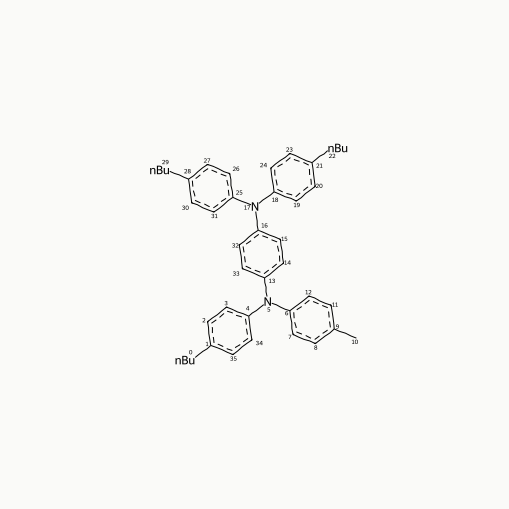 CCCCc1ccc(N(c2ccc(C)cc2)c2ccc(N(c3ccc(CCCC)cc3)c3ccc(CCCC)cc3)cc2)cc1